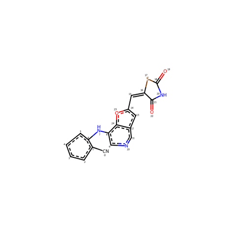 N#Cc1ccccc1Nc1cncc2cc(C=C3SC(=O)NC3=O)oc12